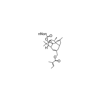 C/C=C(\C)C(=O)OCC1=CC2C(=O)C3(C=C(C)CC3C1)[C@H](C)C[C@]1(OC(=O)CCCCCCCCC)[C@H]2C1(C)C